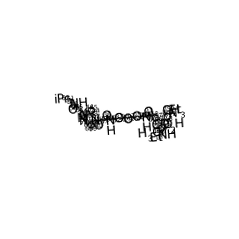 CC/N=C1/C=C2Oc3cc(NCC)c(C)cc3C(c3ccc(C(=O)NCCOCCOCCOCCNC(=O)CCC(=O)N4Cc5ccccc5-c5c(nnn5CCCC(=O)NCCC(C)C)-c5ccccc54)cc3C(=O)O)C2C=C1C